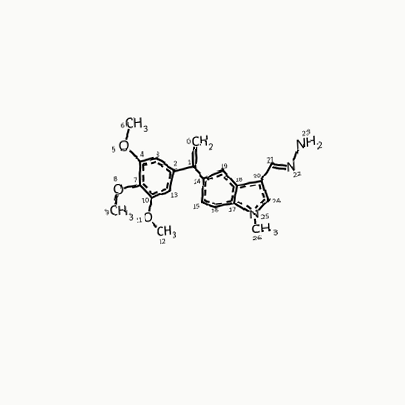 C=C(c1cc(OC)c(OC)c(OC)c1)c1ccc2c(c1)c(C=NN)cn2C